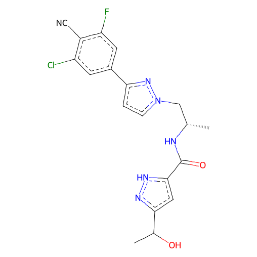 CC(O)c1cc(C(=O)N[C@@H](C)Cn2ccc(-c3cc(F)c(C#N)c(Cl)c3)n2)[nH]n1